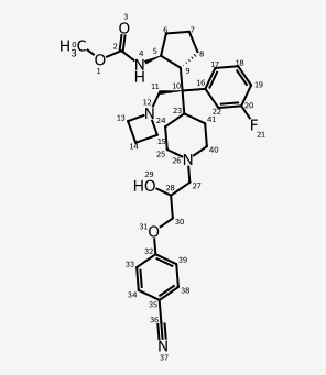 COC(=O)N[C@H]1CCC[C@@H]1[C@](CN1CCC1)(c1cccc(F)c1)C1CCN(CC(O)COc2ccc(C#N)cc2)CC1